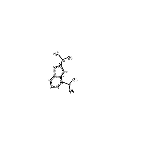 CC(C)c1cccc2cn(C(C)C)nc12